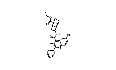 CCOC(=O)C12C3C4C1C1C2C3C41NC(=O)c1c(C)c(-c2ccccc2)nc2ccc(Br)cc12